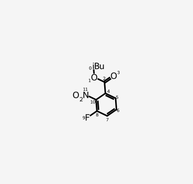 CCC(C)OC(=O)c1cccc(F)c1[N+](=O)[O-]